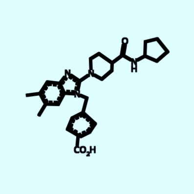 Cc1cc2nc(N3CCC(C(=O)NC4CCCC4)CC3)n(Cc3ccc(C(=O)O)cc3)c2cc1C